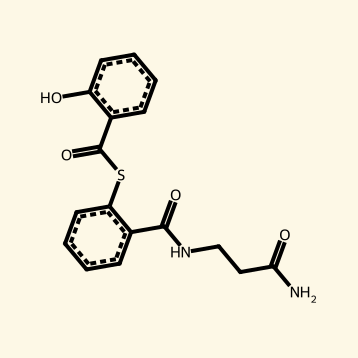 NC(=O)CCNC(=O)c1ccccc1SC(=O)c1ccccc1O